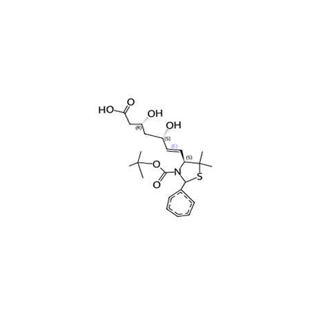 CC(C)(C)OC(=O)N1C(c2ccccc2)SC(C)(C)[C@@H]1/C=C/[C@@H](O)C[C@@H](O)CC(=O)O